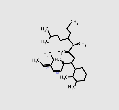 C=C(/C=C\C(=C\C)CC)C(CC(=C)N(C)C(CCC)CCC(C)C)C1CCCC(C)C1C